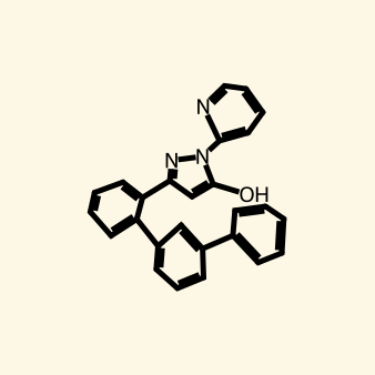 Oc1cc(-c2ccccc2-c2cccc(-c3ccccc3)c2)nn1-c1ccccn1